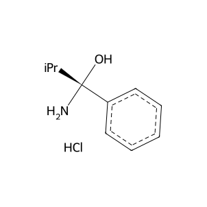 CC(C)[C@@](N)(O)c1ccccc1.Cl